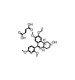 CCOc1cc2c(cc1OC)C(c1ccc(OC)nc1OC)=N[C@@H]1CC[C@@H](O)C[C@H]21.O=C(O)C=CC(=O)O